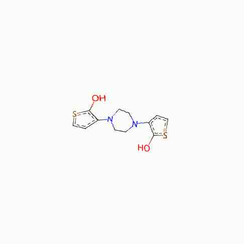 Oc1sccc1N1CCN(c2ccsc2O)CC1